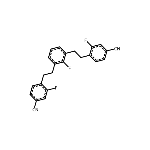 N#Cc1ccc(CCc2cccc(CCc3ccc(C#N)cc3F)c2F)c(F)c1